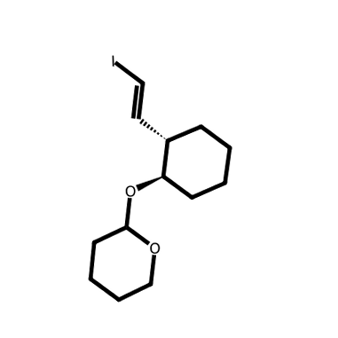 I/C=C/[C@@H]1CCCC[C@H]1OC1CCCCO1